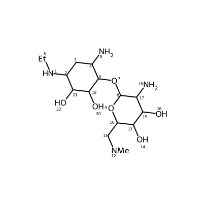 CCNC1CC(N)C(OC2OC(CNC)C(O)C(O)C2N)C(O)C1O